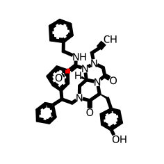 C#CCN1CC(=O)N2[C@@H](Cc3ccc(O)cc3)C(=O)N(CC(c3ccccc3)c3ccccc3)C[C@@H]2N1C(=C=O)NCc1ccccc1